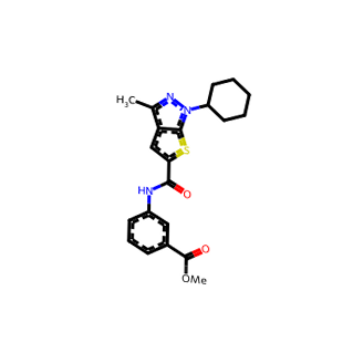 COC(=O)c1cccc(NC(=O)c2cc3c(C)nn(C4CCCCC4)c3s2)c1